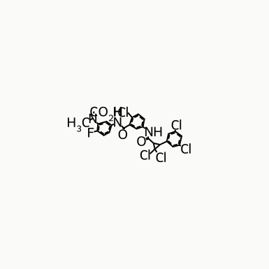 CN(C(=O)O)c1cc(NC(=O)c2cc(NC(=O)C3C(c4cc(Cl)cc(Cl)c4)C3(Cl)Cl)ccc2Cl)ccc1F